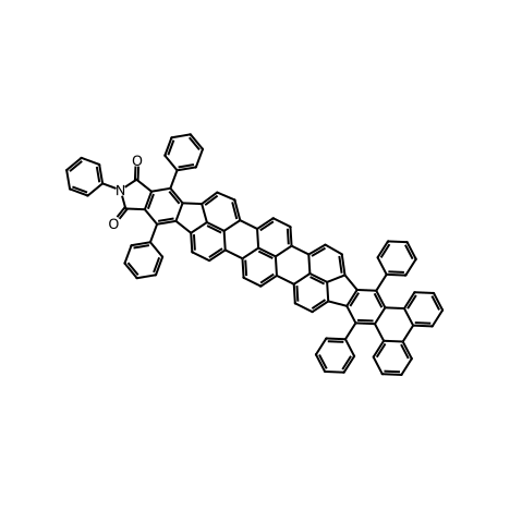 O=C1c2c(c(-c3ccccc3)c3c(c2-c2ccccc2)-c2ccc4c5ccc6c7ccc8c9c(ccc(c%10ccc(c%11ccc-3c2c4%11)c5c6%10)c97)-c2c-8c(-c3ccccc3)c3c4ccccc4c4ccccc4c3c2-c2ccccc2)C(=O)N1c1ccccc1